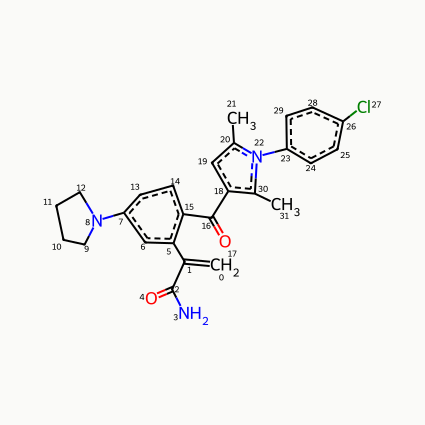 C=C(C(N)=O)c1cc(N2CCCC2)ccc1C(=O)c1cc(C)n(-c2ccc(Cl)cc2)c1C